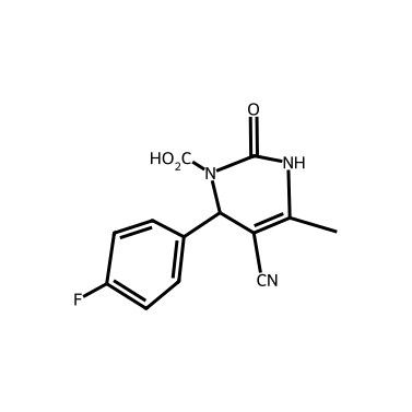 CC1=C(C#N)C(c2ccc(F)cc2)N(C(=O)O)C(=O)N1